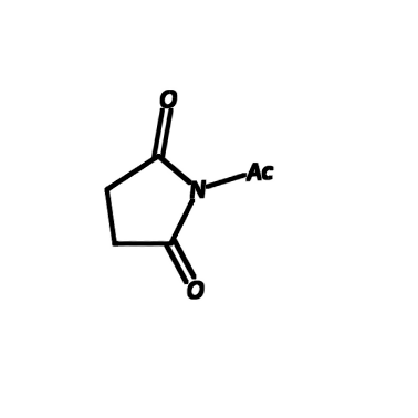 CC(=O)N1C(=O)CCC1=O